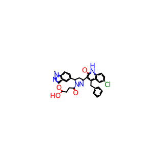 Cn1ncc2cc(C3CC(c4c(Cc5ccccc5)c5cc(Cl)ccc5[nH]c4=O)=NN3C(=O)CCC(=O)O)ccc21